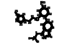 CN(C)Cc1nnc2ccc(-c3ccc(F)cc3OCCc3cnn(C)c3)cn12